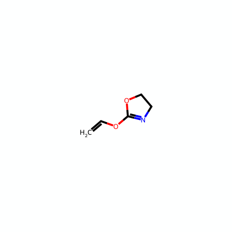 C=COC1=NCCO1